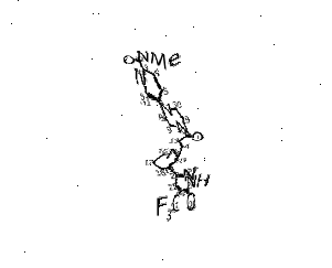 CNC(=O)c1ccc(N2CCN(C(=O)CCN3CCCC(c4cc(C(F)(F)F)c(=O)[nH]n4)C3)CC2)cn1